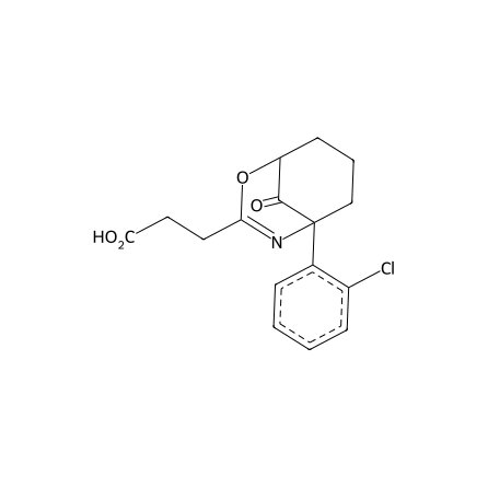 O=C(O)CCC1=NC2(c3ccccc3Cl)CCCC(O1)C2=O